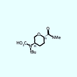 CNC(=O)[C@@H]1CC[C@@H](N(C(=O)O)C(C)(C)C)CO1